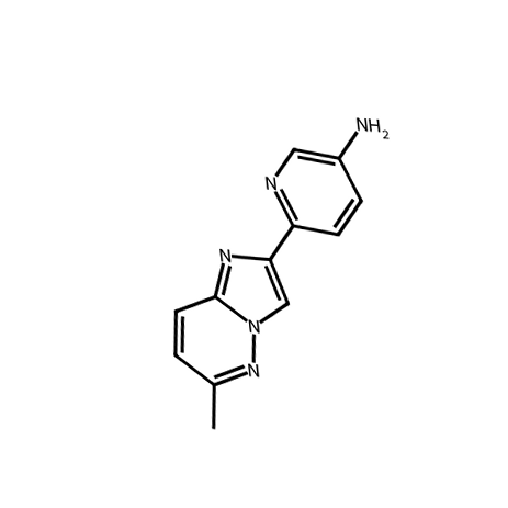 Cc1ccc2nc(-c3ccc(N)cn3)cn2n1